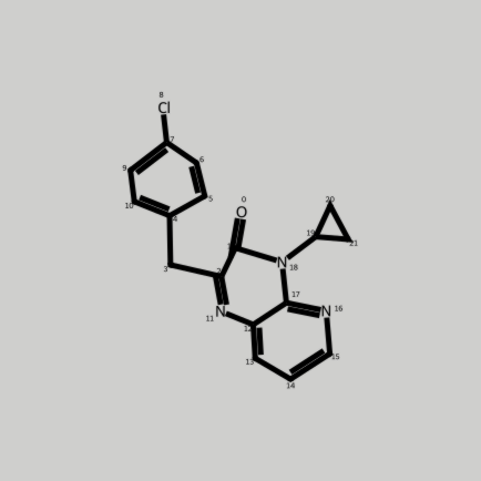 O=c1c(Cc2ccc(Cl)cc2)nc2cccnc2n1C1CC1